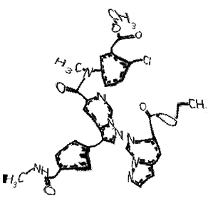 CCOC(=O)c1cc2ccnn2cn1.CNC(=O)c1ccc(-c2cnn3cnc(C(=O)N(C)c4ccc(Cl)c(C(=O)OC)c4)cc23)cc1